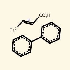 C/C=C/C(=O)O.c1ccc(-c2ccccc2)cc1